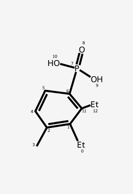 CCc1c(C)ccc(P(=O)(O)O)c1CC